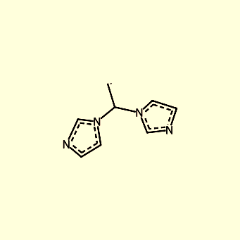 [CH2]C(n1ccnc1)n1ccnc1